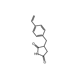 C=Cc1ccc(CC2CC(=O)NC2=O)cc1